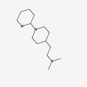 CN(C)CCC1CCN(C2CCCC[N]2)CC1